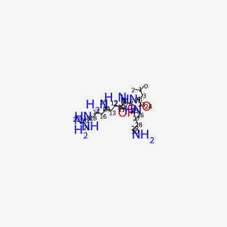 CC(C)C[C@H](NC(=O)[C@@H](N)[C@@H](O)CC[C@@H](N)CCCNC(=N)N)C(=O)NCCCCN